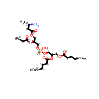 CCCCCCCCCCCCCC(=O)OC[C@H](COP(=O)(O)OCC(COC(=O)C[C@H](C)N)OC(=O)CC(C)C)OC(=O)CCCCCCCCCCCCC